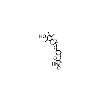 Cc1c(C)c2c(c(C)c1O)CC[C@@](C)(COc1ccc(CC3SC(=O)NC3=O)cc1)O2